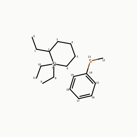 CCC1CCCC[Si]1(CC)CC.CSc1ccccc1